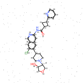 C[C@]1(N2CCC(c3cc4cc(NC(=O)C5CC(c6ccccn6)C5)ncc4cc3Cl)CC2)COC[C@H]1O